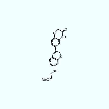 COCCNc1ccc2c(c1)SCC(c1ccc3c(c1)NC(=O)CO3)=C2